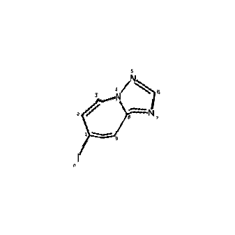 Ic1ccn2ncnc2c1